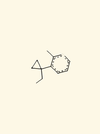 OCC1(c2cccnc2Cl)CC1